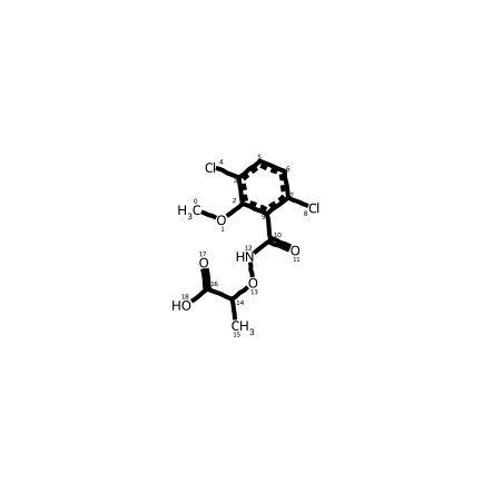 COc1c(Cl)ccc(Cl)c1C(=O)NOC(C)C(=O)O